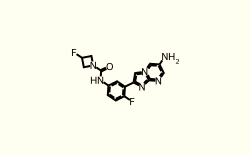 Nc1cnc2nc(-c3cc(NC(=O)N4CC(F)C4)ccc3F)cn2c1